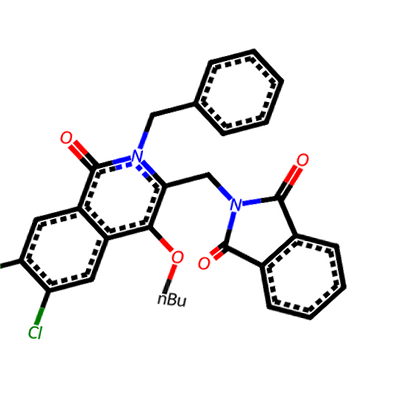 CCCCOc1c(CN2C(=O)c3ccccc3C2=O)n(Cc2ccccc2)c(=O)c2cc(Cl)c(Cl)cc12